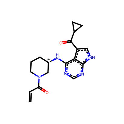 C=CC(=O)N1CCC[C@@H](Nc2ncnc3[nH]cc(C(=O)C4CC4)c23)C1